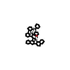 c1ccc(N(c2ccccc2)c2cccc3c4cccc5c6c7c8c9ccccc9cc9c%10ccc%11ccccc%11c%10n(c7ncc6n(c23)c45)c98)cc1